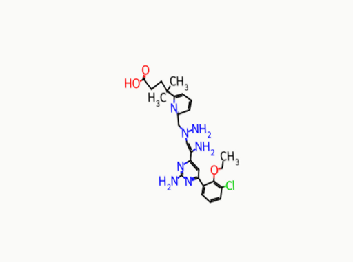 CCOc1c(Cl)cccc1-c1cc(/C(N)=C/N(N)Cc2cccc(C(C)(C)CCC(=O)O)n2)nc(N)n1